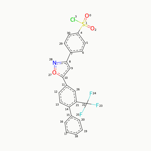 O=S(=O)(Cl)c1ccc(-c2cc(-c3ccc(-c4ccccc4)c(C(F)(F)F)c3)on2)cc1